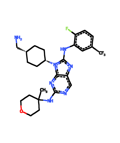 CC1(Nc2ncc3nc(Nc4cc(C(F)(F)F)ccc4F)n([C@H]4CC[C@@H](CN)CC4)c3n2)CCOCC1